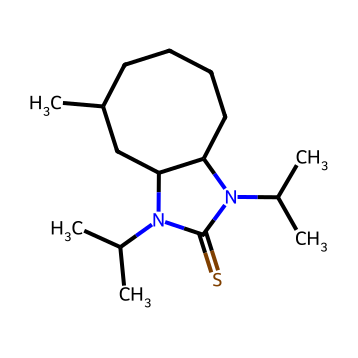 CC1CCCCC2C(C1)N(C(C)C)C(=S)N2C(C)C